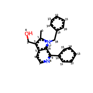 Cc1c(CO)c2ccnc(-c3ccccc3)c2n1Cc1ccccc1